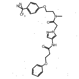 CN(CCOc1ccc(C2(C(F)(F)F)N=N2)cc1)C(=O)Cn1cc(NC(=O)CCOc2ccccc2)cn1